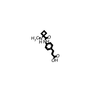 CNC1(C(=O)Nc2ccc(/C=C/C(=O)O)cc2)CCC1